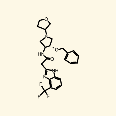 O=C(Cc1nc2c(C(F)(F)F)cccc2[nH]1)NC1CN(C2CCOC2)C[C@@H]1OCc1ccccc1